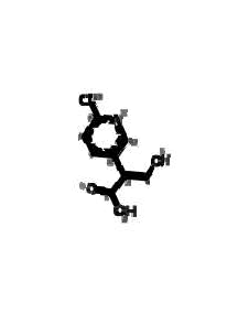 O=C(O)/C(=C/O)c1ccc(Cl)nc1